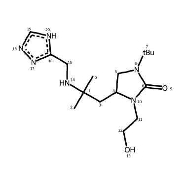 CC(C)(CC1CN(C(C)(C)C)C(=O)N1CCO)NCc1nnc[nH]1